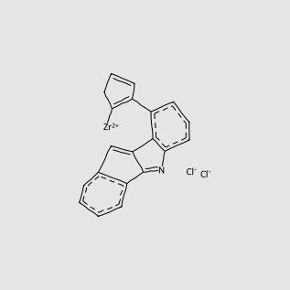 [Cl-].[Cl-].[Zr+2][C]1=C(c2cccc3c2C2=Cc4ccccc4C2=N3)C=CC1